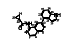 O=C(Nc1nccc2ccc(-c3cccc4[nH]ccc34)cc12)C1CC1